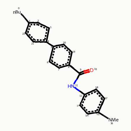 CCCCc1ccc(-c2ccc(C(=O)Nc3ccc(NC)cc3)cc2)cc1